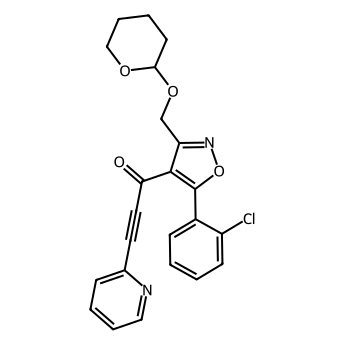 O=C(C#Cc1ccccn1)c1c(COC2CCCCO2)noc1-c1ccccc1Cl